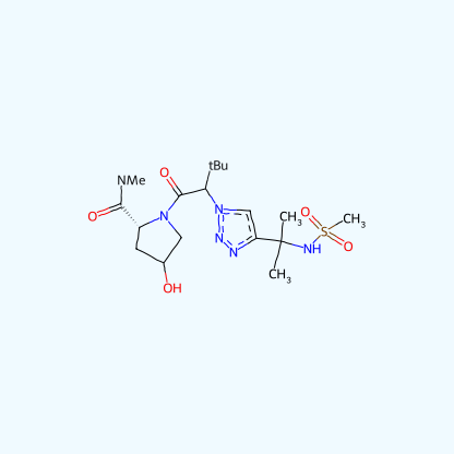 CNC(=O)[C@H]1CC(O)CN1C(=O)C(n1cc(C(C)(C)NS(C)(=O)=O)nn1)C(C)(C)C